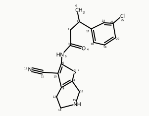 CC(CC(=O)Nc1sc2c(c1C#N)CCNC2)c1cccc(Cl)c1